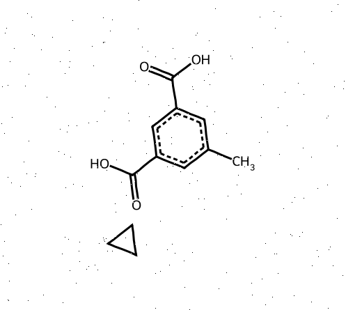 C1CC1.Cc1cc(C(=O)O)cc(C(=O)O)c1